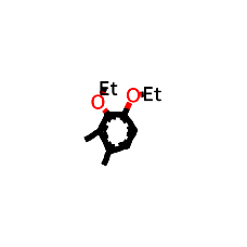 CCOc1ccc(C)c(C)c1OCC